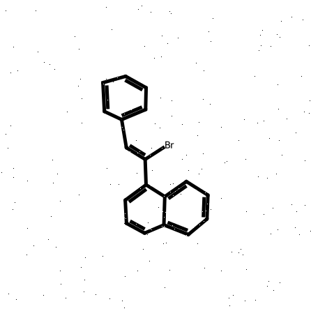 BrC(=Cc1ccccc1)c1cccc2ccccc12